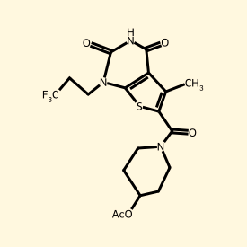 CC(=O)OC1CCN(C(=O)c2sc3c(c2C)c(=O)[nH]c(=O)n3CCC(F)(F)F)CC1